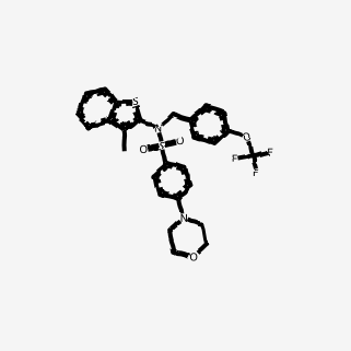 Cc1c(N(Cc2ccc(OC(F)(F)F)cc2)S(=O)(=O)c2ccc(N3CCOCC3)cc2)sc2ccccc12